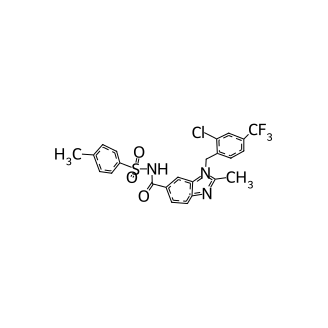 Cc1ccc(S(=O)(=O)NC(=O)c2ccc3nc(C)n(Cc4ccc(C(F)(F)F)cc4Cl)c3c2)cc1